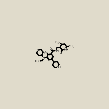 CCN(c1cc(C2CCNCC2)cc(C(=O)NCC2C(=O)NC(C)CC2C)c1C)C1CCOCC1